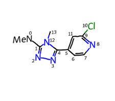 CNc1nnc(-c2ccnc(Cl)c2)n1C